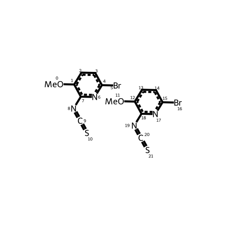 COc1ccc(Br)nc1N=C=S.COc1ccc(Br)nc1N=C=S